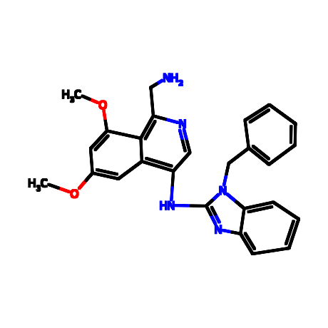 COc1cc(OC)c2c(CN)ncc(Nc3nc4ccccc4n3Cc3ccccc3)c2c1